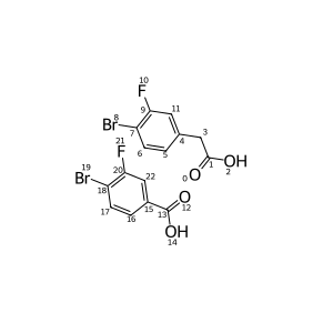 O=C(O)Cc1ccc(Br)c(F)c1.O=C(O)c1ccc(Br)c(F)c1